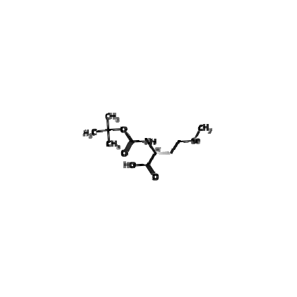 C[Se]CC[C@@H](NC(=O)OC(C)(C)C)C(=O)O